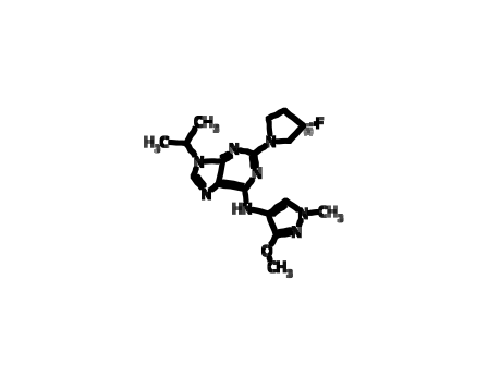 COc1nn(C)cc1Nc1nc(N2CC[C@H](F)C2)nc2c1ncn2C(C)C